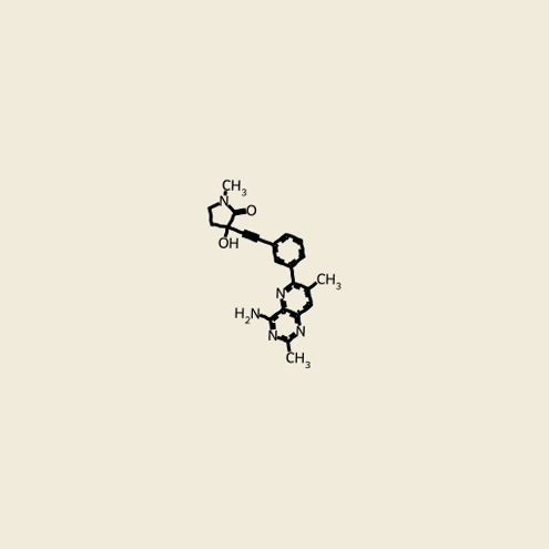 Cc1nc(N)c2nc(-c3cccc(C#CC4(O)CCN(C)C4=O)c3)c(C)cc2n1